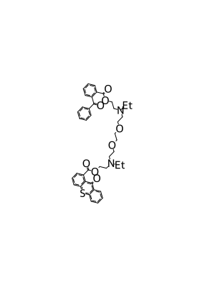 CCN(CCOCCOCCN(CC)CCOC(=O)c1cccc2sc3ccccc3c(=O)c12)CCOC(=O)c1ccccc1C(=O)c1ccccc1